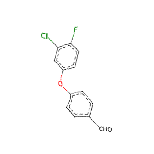 O=Cc1ccc(Oc2ccc(F)c(Cl)c2)cc1